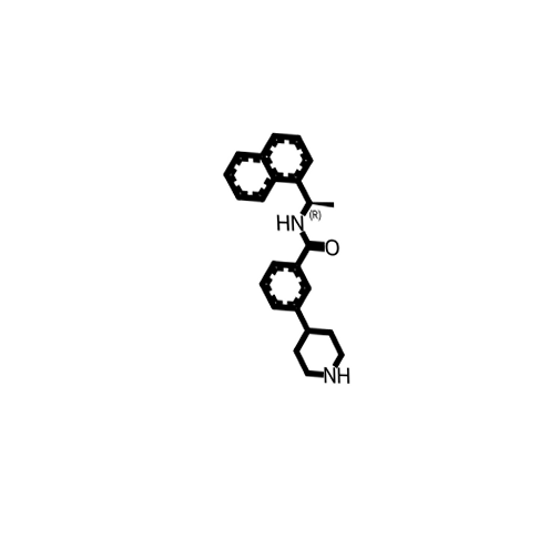 C[C@@H](NC(=O)c1cccc(C2CCNCC2)c1)c1cccc2ccccc12